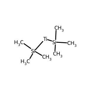 C[Si](C)(C)[Ti][Si](C)(C)C